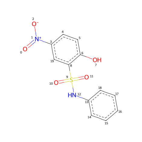 O=[N+]([O-])c1ccc(O)c(S(=O)(=O)Nc2ccccc2)c1